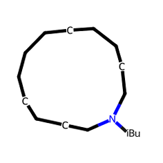 CCC(C)N1CCCCCCCCCCCC1